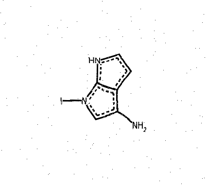 Nc1cn(I)c2[nH]ccc12